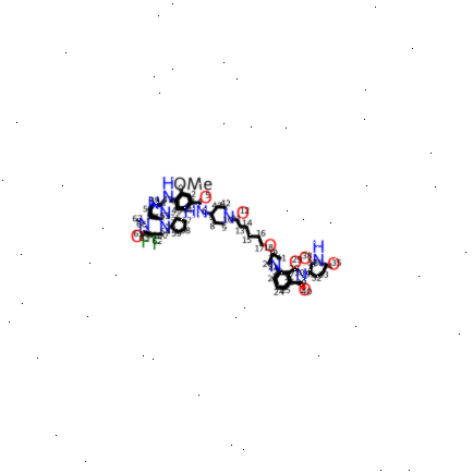 COc1cc(C(=O)NC2CCN(C(=O)CCCCCOC3CN(c4cccc5c4C(=O)N(C4CCC(=O)NC4=O)C5=O)C3)CC2)ccc1Nc1ncc2c(n1)N(C1CCCC1)CC(F)(F)C(=O)N2C